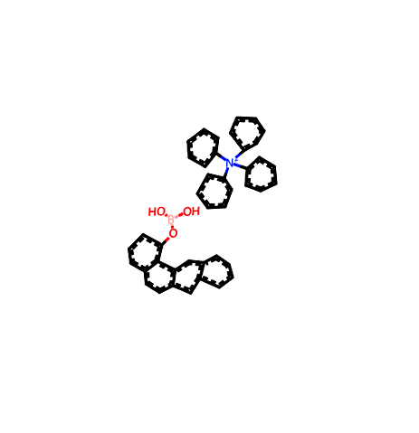 OB(O)Oc1cccc2ccc3cc4ccccc4cc3c12.c1ccc([N+](c2ccccc2)(c2ccccc2)c2ccccc2)cc1